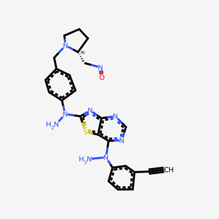 C#Cc1cccc(N(N)c2ncnc3nc(N(N)c4ccc(CN5CCC[C@@H]5CN=O)cc4)sc23)c1